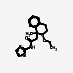 CCON1CCc2ccccc2C1(C)CC(=O)Nc1nccs1